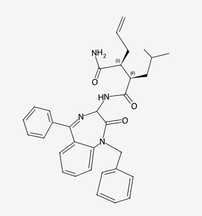 C=CC[C@H](C(N)=O)[C@@H](CC(C)C)C(=O)NC1N=C(c2ccccc2)c2ccccc2N(Cc2ccccc2)C1=O